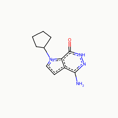 Nc1n[nH]c(=O)c2c1ccn2C1CCCC1